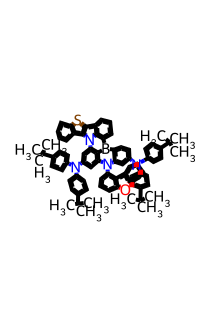 CC(C)(C)c1ccc(N(c2ccc(C(C)(C)C)cc2)c2ccc3c(c2)N(c2cccc4oc5ccccc5c24)c2cc(N(c4ccc(C(C)(C)C)cc4)c4ccc(C(C)(C)C)cc4)cc4c2B3c2cccc3c5sc6ccccc6c5n-4c23)cc1